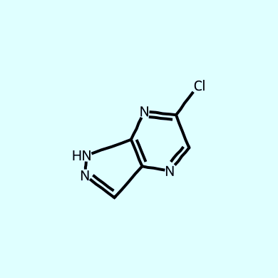 Clc1cnc2cn[nH]c2n1